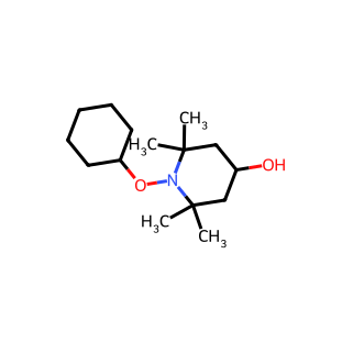 CC1(C)CC(O)CC(C)(C)N1OC1CCCCC1